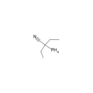 CCC([PH4])(C#N)CC